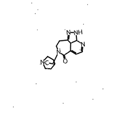 O=C1C2=CC=NC3NN=C(CCN1C1CN4CCC1CC4)C23